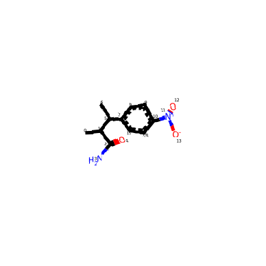 CC(C(N)=O)C(C)c1ccc([N+](=O)[O-])cc1